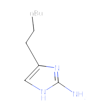 CCCCCCc1c[nH]c(N)n1